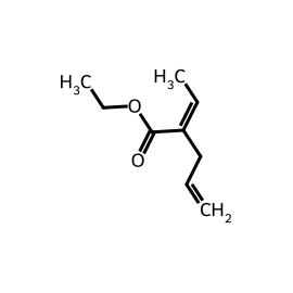 C=CCC(=CC)C(=O)OCC